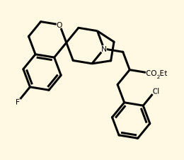 CCOC(=O)C(Cc1ccccc1Cl)CN1C2CCC1CC1(C2)OCCc2cc(F)ccc21